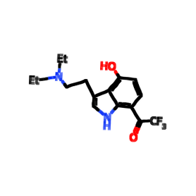 CCN(CC)CCc1c[nH]c2c(C(=O)C(F)(F)F)ccc(O)c12